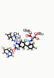 CN(C)C1(CNc2nc(OC[C@@]34CCCN3C[C@H](F)C4)nc3c(F)c(-c4ccc(F)c5sc(N(C(=O)OC(C)(C)C)C(=O)OC(C)(C)C)nc45)c(Cl)cc23)CCC1